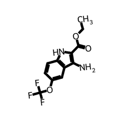 CCOC(=O)c1[nH]c2ccc(OC(F)(F)F)cc2c1N